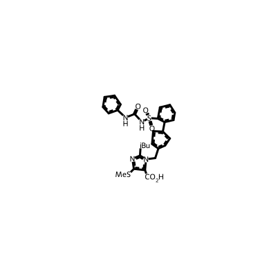 CCC(C)c1nc(SC)c(C(=O)O)n1Cc1ccc(-c2ccccc2S(=O)(=O)NC(=O)Nc2ccccc2)cc1